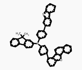 CC1(C)c2ccccc2-c2ccc(N(c3ccc(-c4ccc5c(c4)sc4ccccc45)cc3)c3ccc(-c4cccc5oc6c7ccccc7ccc6c45)cc3)cc21